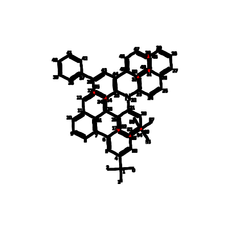 CC(C)(C)c1cc(-c2cccc3cccc(-c4ccccc4N(c4ccc5ccccc5c4)c4ccc(-c5ccccc5)cc4-c4ccccc4)c23)cc(C(C)(C)C)c1